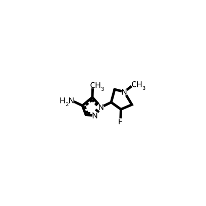 Cc1c(N)cnn1C1CN(C)CC1F